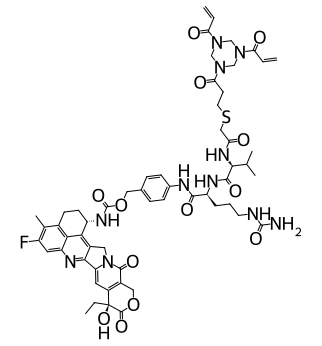 C=CC(=O)N1CN(C(=O)C=C)CN(C(=O)CCSCC(=O)N[C@H](C(=O)N[C@@H](CCCNC(N)=O)C(=O)Nc2ccc(COC(=O)N[C@H]3CCc4c(C)c(F)cc5nc6c(c3c45)Cn3c-6cc4c(c3=O)COC(=O)[C@]4(O)CC)cc2)C(C)C)C1